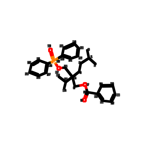 CC(C)CCC(COC(=O)c1ccccc1)(COP(=O)(c1ccccc1)c1ccccc1)C(C)C